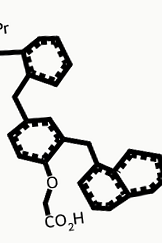 CC(C)Cc1ccccc1Cc1ccc(OCC(=O)O)c(Cc2cccc3ccccc23)c1